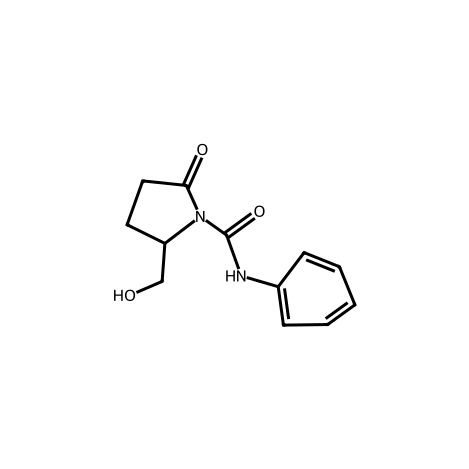 O=C1CCC(CO)N1C(=O)Nc1ccccc1